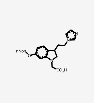 CCCCCCCCCOc1ccc2c(c1)N(CC(=O)O)CC2CCn1ccnc1